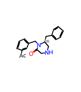 CC(=O)c1cccc(CN2C(=O)CNC[C@@H]2Cc2ccccc2)c1